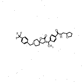 CC(c1ccc(C(=O)NCC2CCCO2)cc1)N1CC2(CCN(Cc3ccc(C(F)(F)F)cc3)CC2)OC1=O